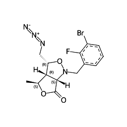 C[C@@H]1OC(=O)[C@@H]2[C@H]1[C@H](CN=[N+]=[N-])ON2Cc1cccc(Br)c1F